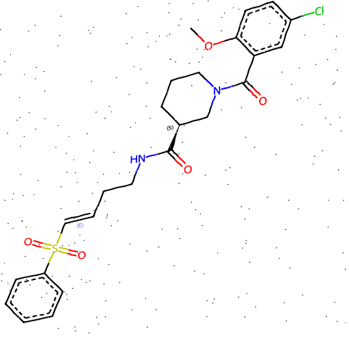 COc1ccc(Cl)cc1C(=O)N1CCC[C@H](C(=O)NCC/C=C/S(=O)(=O)c2ccccc2)C1